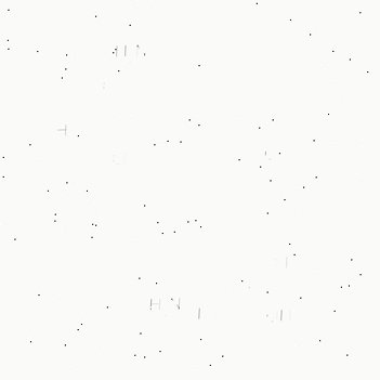 CC(c1ccc(N)c(C(O)(C(F)(F)F)C(F)(F)F)c1)c1ccc(N)c(C(O)(C(F)(F)F)C(F)(F)F)c1